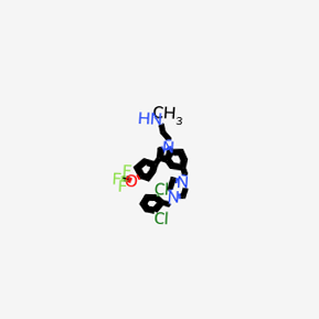 CNCCCn1cc(-c2ccc(OC(F)(F)F)cc2)c2cc(CN3CCN(Cc4c(Cl)cccc4Cl)CC3)ccc21